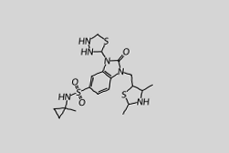 CC1NC(C)C(Cn2c(=O)n(C3NNCS3)c3cc(S(=O)(=O)NC4(C)CC4)ccc32)S1